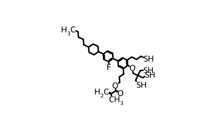 C=C(C)C(=O)OCCCc1cc(-c2ccc(C3CCC(CCCCC)CC3)cc2F)cc(CCCS)c1OCC(CS)(CS)CS